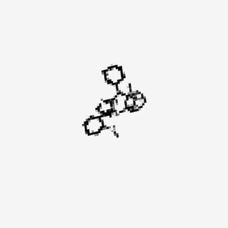 COc1ccccc1CN[C@@H]1C2CCN(CC2)[C@H]1C(c1ccccc1)c1cccs1